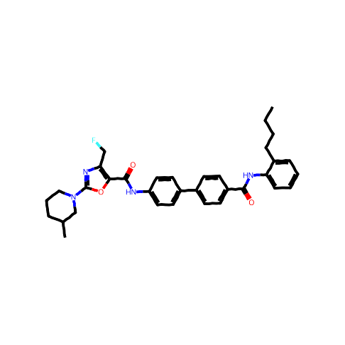 CCCCc1ccccc1NC(=O)c1ccc(-c2ccc(NC(=O)c3oc(N4CCCC(C)C4)nc3CF)cc2)cc1